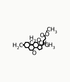 C=C1CCC2(C)C(C1)CC(=O)C1C2CC(=O)C2(C)C1CCC2[C@H](C)CCC(=O)OCC